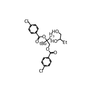 CC(C)(C)C(C)(COC(=O)c1ccc(Cl)cc1)OC(=O)c1ccc(Cl)cc1.CCC(O)CO